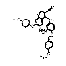 COc1ccc(COc2ccc(Nc3c(C#N)cnc4cc(OC5CCN(C)CC5)c(N)cc34)cc2Cl)cc1